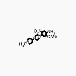 COc1cc(N2CCN(C3CCN(C)CC3)CC2)c([N+](=O)[O-])cc1N